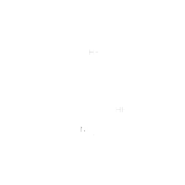 CCC(C)(N)CC.F.F.F